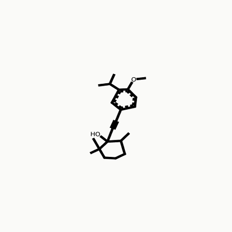 COc1ccc(C#CC2(O)C(C)CCCC2(C)C)cc1C(C)C